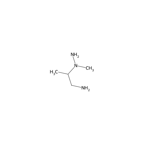 CC(CN)N(C)N